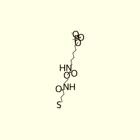 COP(C)(=O)OCCCCCCNC(=O)OCCNC(=O)CCCSC